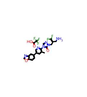 Cc1cc(-c2ccc3ocnc3c2)cnc1-n1cnn(CC(CN)=C(F)F)c1=O.O=C(O)C(F)(F)F